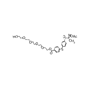 CC(=O)O/N=C(\C)C(=O)c1ccc(Sc2ccc(C(=O)OCCOCCOCCOCCOCCO)cc2)cc1